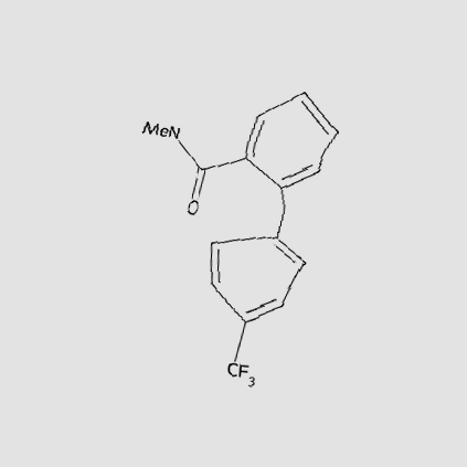 CNC(=O)c1ccccc1-c1ccc(C(F)(F)F)cc1